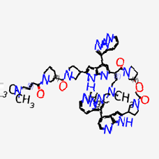 CN(C)C/C=C/C(=O)N1CCC[C@@H](C(=O)N2CCC(c3cc4c(-c5cnn6ncccc56)cc(/C(=C\CN(C)C)C(=O)N5CC[C@@H](OCC(=O)N6CCC(c7cc8c(-c9cnn%10ncccc9%10)ccnc8[nH]7)C6)C5)nc4[nH]3)C2)C1